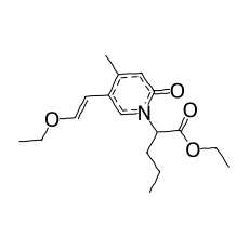 CCCC(C(=O)OCC)n1cc(/C=C/OCC)c(C)cc1=O